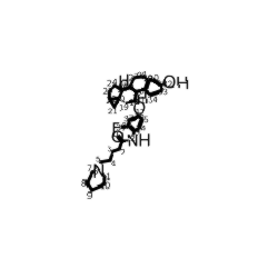 O=C(CCCCN1CCCCC1)Nc1ccc(O[C@H]2C[C@]34CC3CCC4[C@@H]3CCc4cc(O)ccc4[C@@H]23)cc1F